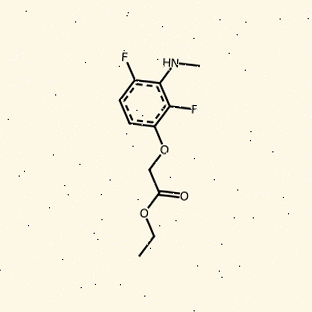 CCOC(=O)COc1ccc(F)c(NC)c1F